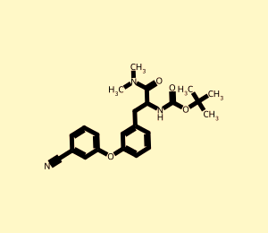 CN(C)C(=O)C(Cc1cccc(Oc2cccc(C#N)c2)c1)NC(=O)OC(C)(C)C